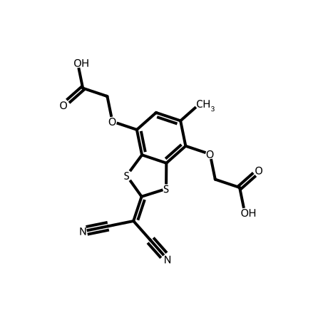 Cc1cc(OCC(=O)O)c2c(c1OCC(=O)O)SC(=C(C#N)C#N)S2